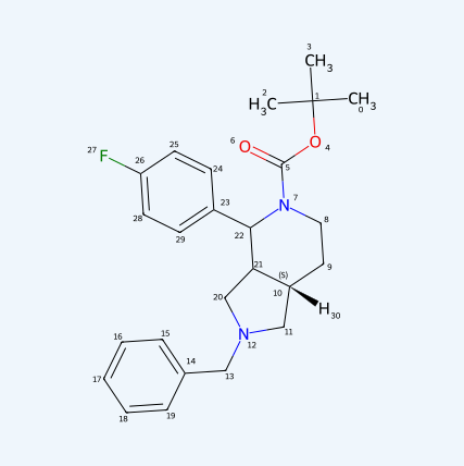 CC(C)(C)OC(=O)N1CC[C@@H]2CN(Cc3ccccc3)CC2C1c1ccc(F)cc1